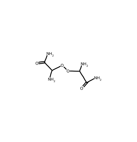 NC(=O)C(N)OOC(N)C(N)=O